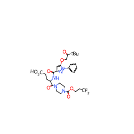 CC(C)(C)C(=O)COc1cc(C(=O)NC(CCC(=O)O)C(=O)N2CCN(C(=O)OCCC(F)(F)F)CC2)nn1-c1ccccc1